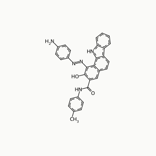 Cc1ccc(NC(=O)c2cc3ccc4c5ccccc5[nH]c4c3c(N=Nc3ccc(N)cc3)c2O)cc1